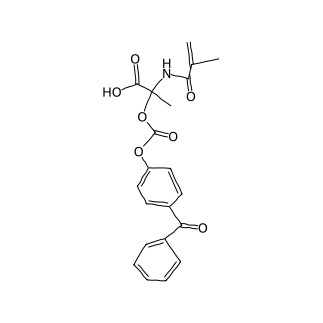 C=C(C)C(=O)NC(C)(OC(=O)Oc1ccc(C(=O)c2ccccc2)cc1)C(=O)O